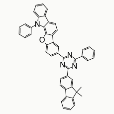 CC1(C)c2ccccc2-c2ccc(-c3nc(-c4ccccc4)nc(-c4ccc5oc6c(ccc7c8ccccc8n(-c8ccccc8)c76)c5c4)n3)cc21